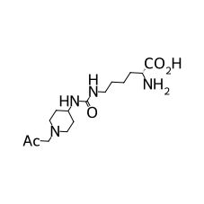 CC(=O)CN1CCC(NC(=O)NCCCC[C@@H](N)C(=O)O)CC1